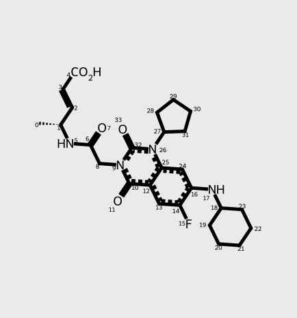 C[C@H](/C=C/C(=O)O)NC(=O)Cn1c(=O)c2cc(F)c(NC3CCCCC3)cc2n(C2CCCC2)c1=O